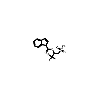 O=C(OC(CS(=O)(=O)O)C(F)(F)F)C1C=Cc2ccccc21